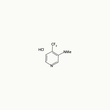 CNc1cnccc1C(F)(F)F.Cl